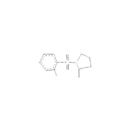 CC1CCCN1S(=O)(=O)c1ccccc1Cl